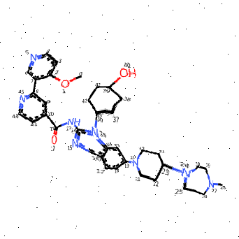 COc1ccncc1-c1cc(C(=O)Nc2nc3ccc(N4CCC(N5CCN(C)CC5)CC4)cc3n2C2CCC(O)CC2)ccn1